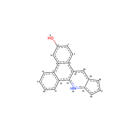 Oc1ccc2c(c1)c1ccccc1c1[nH]c3cccc-3cc21